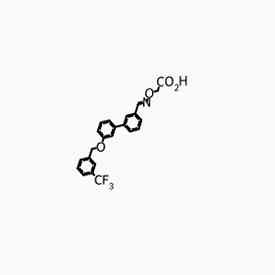 O=C(O)CON=Cc1cccc(-c2cccc(OCc3cccc(C(F)(F)F)c3)c2)c1